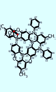 Cc1cc2c3c(c1)Oc1cc4c(cc1B3c1ccccc1O2)B1c2cc3c(cc2N(c2ccccc2)c2cc(C)cc(c21)N4c1ccccc1)Oc1cc(C)cc2c1B3c1ccccc1O2